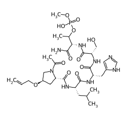 C=CCO[C@@H]1C[C@@H](C(=O)N[C@@H](CC(C)C)C(=O)N[C@@H](Cc2cnc[nH]2)C(=O)N[C@@H](CO)C(=O)N[C@H](C(N)=O)C(C)OP(=O)(O)OC)N(C(C)=O)C1